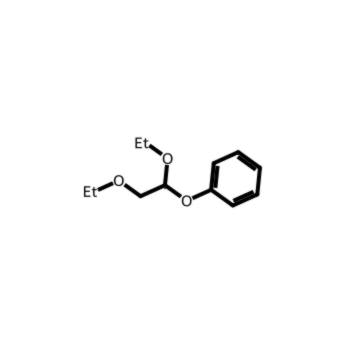 CCOC[C](OCC)Oc1ccccc1